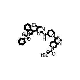 CC(C)(C)OC(=O)N1CCc2c(ncnc2N2CCC[C@@H](Nc3ncc(Cl)c(-c4cn(S(=O)(=O)c5ccccc5)c5ccccc45)n3)C2)C1